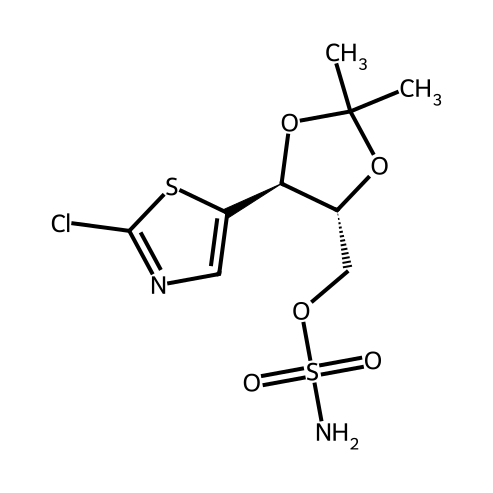 CC1(C)O[C@H](c2cnc(Cl)s2)[C@@H](COS(N)(=O)=O)O1